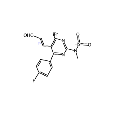 CC(C)c1nc(N(C)[SH](=O)=O)nc(-c2ccc(F)cc2)c1/C=C/C=O